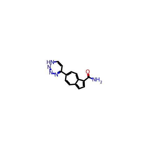 NC(=O)c1ccc2ccc(C3=NN=NNC=C3)ccc1-2